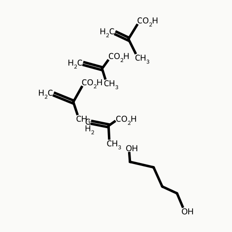 C=C(C)C(=O)O.C=C(C)C(=O)O.C=C(C)C(=O)O.C=C(C)C(=O)O.OCCCCO